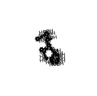 CC(c1ccccc1)C1NC(=O)CNC(=O)C(CO)NC(=O)C(C(O)C2CNC(=N)N2C2OC(CO)C(O)C(O)C2O)NC(=O)C(C(O)C2CNC(=N)N2)NC(=O)C(Cc2ccc(OC3OC(CO)C(OC4OC(COC(=O)Cc5ccccc5)C(O)C(O)C4O)C(O)C3O)cc2)NC1=O